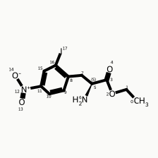 CCOC(=O)[C@@H](N)Cc1ccc([N+](=O)[O-])cc1I